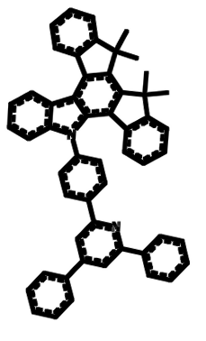 CC1(C)c2ccccc2-c2c1c1c(c3c2c2ccccc2n3-c2ccc(-c3cc(-c4ccccc4)cc(-c4ccccc4)n3)cc2)-c2ccccc2C1(C)C